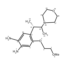 COCCOc1cc(N)c(N)cc1[C@H](C)C(C)N1CCOCC1